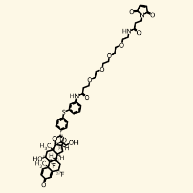 C[C@]12C=CC(=O)C=C1[C@@H](F)C[C@H]1[C@@H]3C[C@H]4O[C@@H](c5ccc(Sc6cccc(NC(=O)CCOCCOCCOCCOCCNC(=O)CCN7C(=O)C=CC7=O)c6)cc5)O[C@@]4(C(=O)CO)[C@@]3(C)C[C@H](O)[C@@]12F